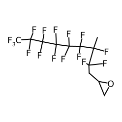 CC(F)(C(F)(F)CC1CO1)C(F)(F)C(F)(F)C(F)(F)C(F)(F)C(F)(F)C(F)(F)F